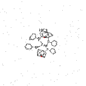 Cl.c1ccc(P(c2ccccc2)[C@H]2[C@H](P(c3ccccc3)c3ccccc3)[Au]23[C@@H](P(c2ccccc2)c2ccccc2)[C@H]3P(c2ccccc2)c2ccccc2)cc1